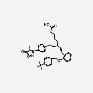 CC(C)(C)c1ccc(COc2ccccc2/C=C/C(CCCCC(=O)O)CCc2ccc(-c3noc(=O)[nH]3)cc2)cc1